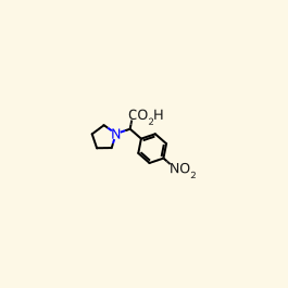 O=C(O)C(c1ccc([N+](=O)[O-])cc1)N1CCCC1